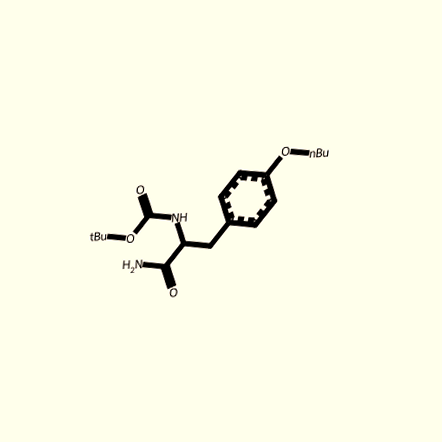 CCCCOc1ccc(CC(NC(=O)OC(C)(C)C)C(N)=O)cc1